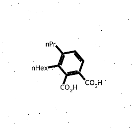 CCCCCCc1c(CCC)ccc(C(=O)O)c1C(=O)O